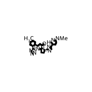 CNc1ccc(-c2cnc([C@@H]3CCc4nc(-c5cc(C)ccc5-n5cnnn5)cc(=O)n43)[nH]2)cn1